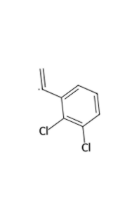 C=[C]c1cccc(Cl)c1Cl